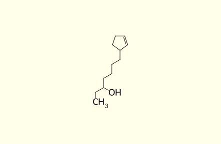 CCC(O)CCCCC1C=CCC1